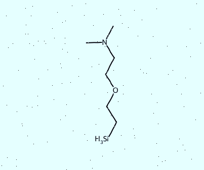 CN(C)CCOCC[SiH3]